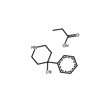 CCC(=O)O.N#CC1(c2ccccc2)CCNCC1